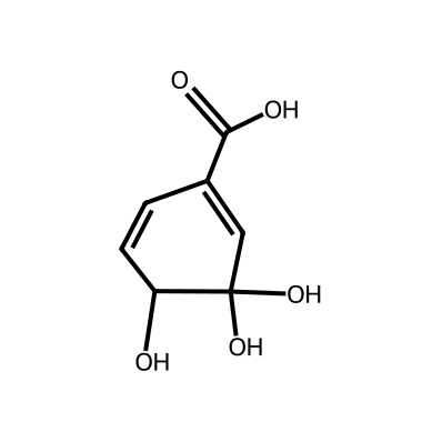 O=C(O)C1=CC(O)(O)C(O)C=C1